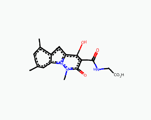 Cc1cc(C)c2cc3c(O)c(C(=O)NCC(=O)O)c(=O)n(C)n3c2c1